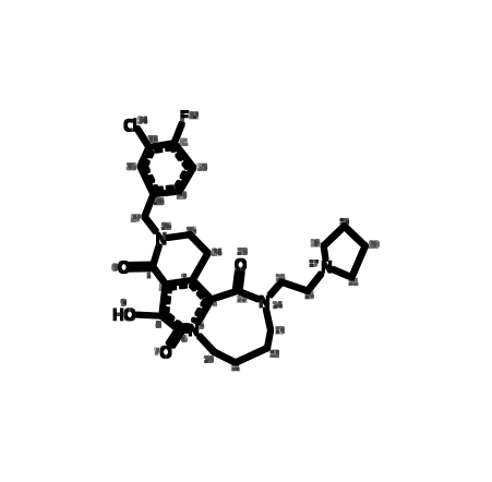 O=C1c2c(c3n(c(=O)c2O)CCCCN(CCN2CCCC2)C3=O)CCN1Cc1ccc(F)c(Cl)c1